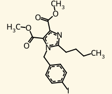 CCCCc1nc(C(=O)OC)c(C(=O)OC)n1Cc1ccc(I)cc1